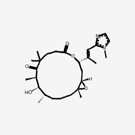 C/C(=C\c1nccn1C)[C@@H]1C[C@@H]2O[C@]2(C)CCC[C@H](C)[C@H](O)[C@@H](C)C(=O)C(C)(C)CCC(=O)O1